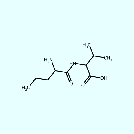 CCCC(N)C(=O)NC(C(=O)O)C(C)C